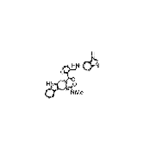 CNC(=O)[C@H]1Cc2c([nH]c3ccccc23)CN1C(=O)c1occc1CNc1ccc2nc[nH]c2c1